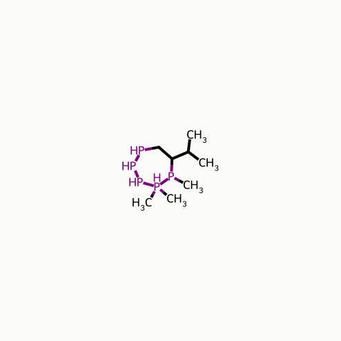 CC(C)C1CPPP[PH](C)(C)P1C